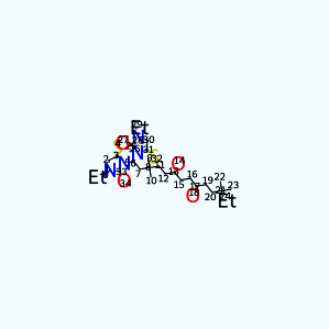 CCN1CC(=S)N(C(CC(C)(C)CCC(=O)CCC(=O)CCC(C)(C)CC)N2C(=O)N(CC)CC2=S)C1=O